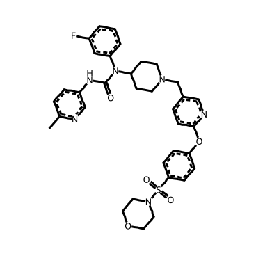 Cc1ccc(NC(=O)N(c2cccc(F)c2)C2CCN(Cc3ccc(Oc4ccc(S(=O)(=O)N5CCOCC5)cc4)nc3)CC2)cn1